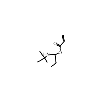 C=CC(=O)OC(CC)NC(C)(C)C